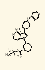 CC(C)(C)OC(=O)N1CCCCC(n2nc(-c3ccc(Oc4ccccc4)cc3)c3c(N)ncnc32)C1